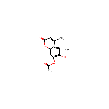 CC(=O)Oc1cc2oc(=O)cc(C)c2cc1O.[NaH]